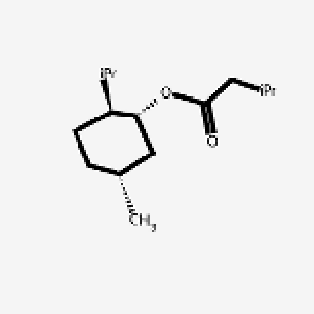 CC(C)CC(=O)O[C@@H]1C[C@H](C)CC[C@H]1C(C)C